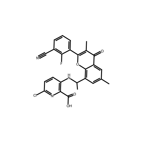 Cc1cc(C(C)Nc2ccc(Cl)nc2C(=O)O)c2oc(-c3cccc(C#N)c3F)c(C)c(=O)c2c1